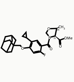 COC(=O)[C@@H]1[C@@H](C)OCN1C(=O)c1cc(C2CC2)c(OCC23CC4CC(CC(C4)C2)C3)cc1F